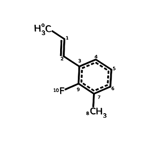 CC=Cc1cccc(C)c1F